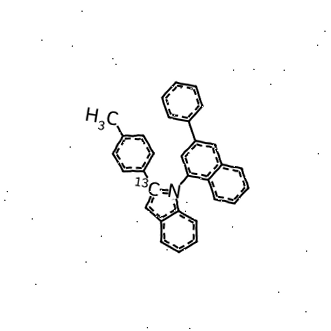 Cc1ccc(-[13c]2cc3ccccc3n2-c2cc(-c3ccccc3)cc3ccccc23)cc1